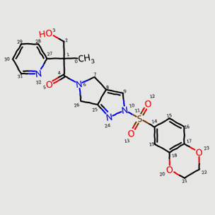 CC(CO)(C(=O)N1Cc2cn(S(=O)(=O)c3ccc4c(c3)OCCO4)nc2C1)c1ccccn1